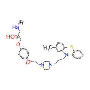 Cc1ccc2c(c1)N(CCCN1CCN(CCOc3ccc(OC[C@@H](O)CNC(C)C)cc3)CC1)c1ccccc1S2